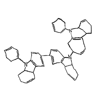 C1=CCCC(N2C3=C(C=CC(N4c5ccc(-c6ccc7c(c6)C6C=CCCC6N7C6=CC=CCC6)cc5C5C=CCCC54)C3)C3CCC=CC32)=C1